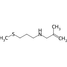 C=C(C)CNCCCSC